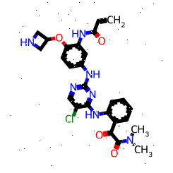 C=CC(=O)Nc1cc(Nc2ncc(Cl)c(Nc3ccccc3C(=O)C(=O)N(C)C)n2)ccc1OC1CNC1